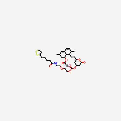 CCC(C)C(=O)OC1CC(C)C=C2C=CC(C)C(CCC3CC(OC(=O)OCCOCCNC(=O)CCCCC4CCSS4)CC(=O)O3)C21